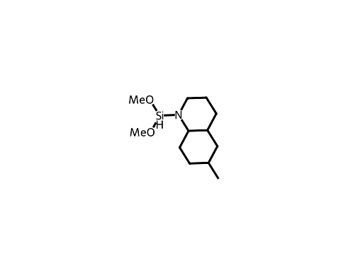 CO[SiH](OC)N1CCCC2CC(C)CCC21